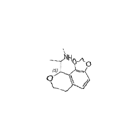 CNC(C)[C@H]1OCCc2ccc3c(c21)OCO3